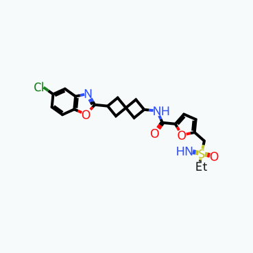 CCS(=N)(=O)Cc1ccc(C(=O)NC2CC3(C2)CC(c2nc4cc(Cl)ccc4o2)C3)o1